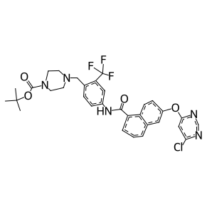 CC(C)(C)OC(=O)N1CCN(Cc2ccc(NC(=O)c3cccc4cc(Oc5cc(Cl)ncn5)ccc34)cc2C(F)(F)F)CC1